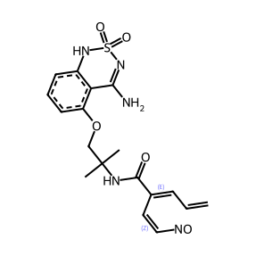 C=C/C=C(\C=C/N=O)C(=O)NC(C)(C)COc1cccc2c1C(N)=NS(=O)(=O)N2